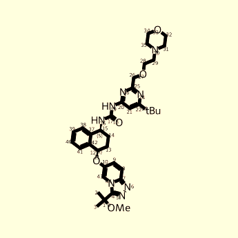 COC(C)(C)c1nnc2ccc(O[C@@H]3CC[C@H](NC(=O)Nc4cc(C(C)(C)C)nc(COCCN5CCOCC5)n4)c4ccccc43)cn12